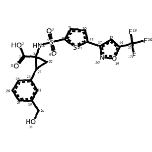 O=C(O)C1(NS(=O)(=O)c2ccc(-c3cc(C(F)(F)F)on3)s2)CC1c1cccc(CO)c1